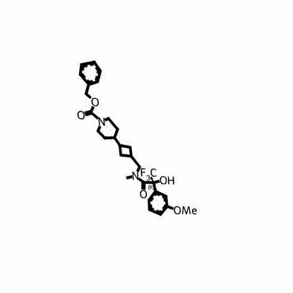 COc1cccc([C@@](O)(C(=O)N(C)CC2CC(C3CCN(C(=O)OCc4ccccc4)CC3)C2)C(F)(F)F)c1